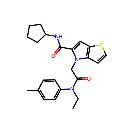 CCN(C(=O)Cn1c(C(=O)NC2CCCC2)cc2sccc21)c1ccc(C)cc1